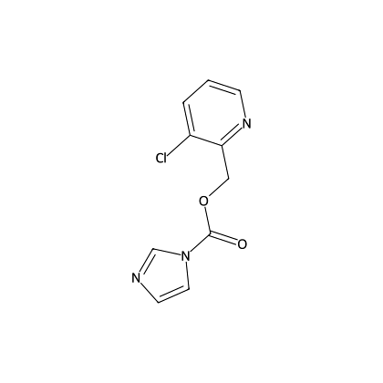 O=C(OCc1ncccc1Cl)n1ccnc1